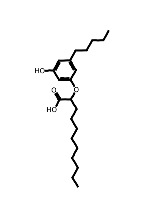 CCCCCCCCCC(Oc1cc(O)cc(CCCCC)c1)C(=O)O